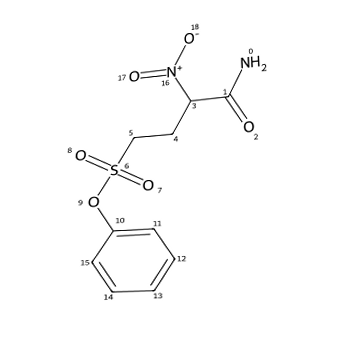 NC(=O)C(CCS(=O)(=O)Oc1ccccc1)[N+](=O)[O-]